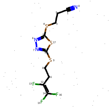 N#CCCSc1nnc(SCCC(F)=C(F)F)s1